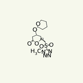 Cn1nnnc1S(=O)(=O)C[C@@H]1CC(OC2CCCCO2)CC(=O)O1